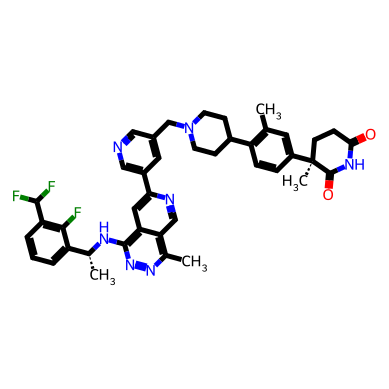 Cc1cc([C@@]2(C)CCC(=O)NC2=O)ccc1C1CCN(Cc2cncc(-c3cc4c(N[C@H](C)c5cccc(C(F)F)c5F)nnc(C)c4cn3)c2)CC1